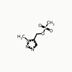 Cn1nncc1COS(C)(=O)=O